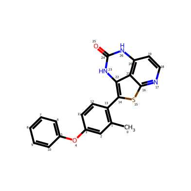 Cc1cc(Oc2ccccc2)ccc1-c1sc2nccc3c2c1NC(=O)N3